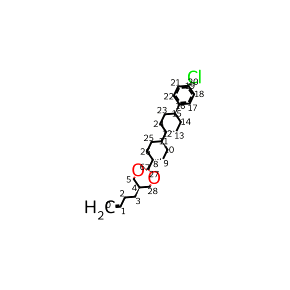 C=CCC[C@H]1CO[C@H]([C@H]2CC[C@H]([C@H]3CC[C@H](c4ccc(Cl)cc4)CC3)CC2)OC1